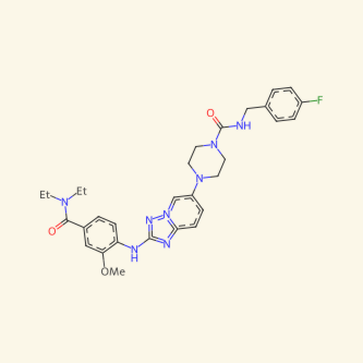 CCN(CC)C(=O)c1ccc(Nc2nc3ccc(N4CCN(C(=O)NCc5ccc(F)cc5)CC4)cn3n2)c(OC)c1